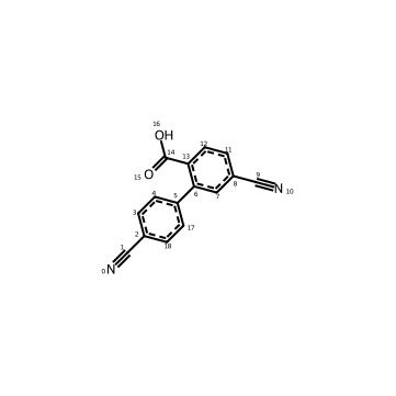 N#Cc1ccc(-c2cc(C#N)ccc2C(=O)O)cc1